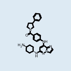 N[C@H]1CC[C@H](Nc2cc(Nc3ccc(C(=O)N4CCC(c5ccccc5)C4)cc3)c3nccn3n2)CC1